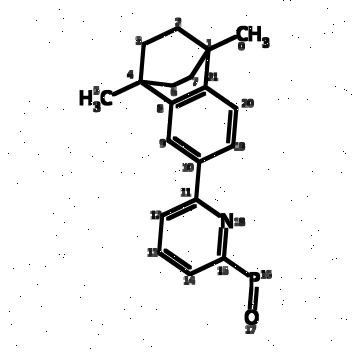 CC12CCC(C)(CC1)c1cc(-c3cccc(P=O)n3)ccc12